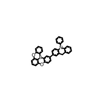 c1ccc(N2c3ccccc3Cc3cc(-c4ccc5c(c4)B4c6ccccc6Oc6cccc(c64)O5)ccc32)cc1